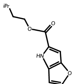 CC(C)CCOC(=O)c1cc2occc2[nH]1